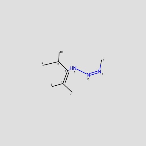 C/N=N\NC(=C(C)C)C(C)C